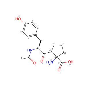 CC(=O)N[C@@H](Cc1ccc(O)cc1)C(=O)C1CCCC1(N)C(=O)O